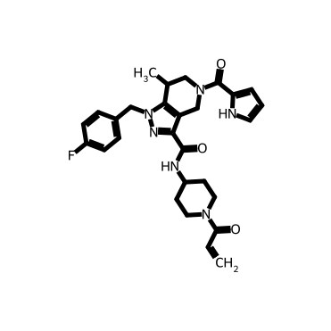 C=CC(=O)N1CCC(NC(=O)c2nn(Cc3ccc(F)cc3)c3c2CN(C(=O)c2ccc[nH]2)CC3C)CC1